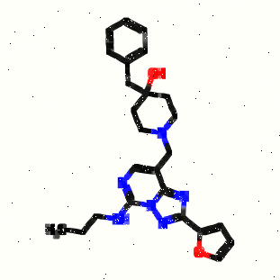 CCCNc1ncc(CN2CCC(O)(Cc3ccccc3)CC2)c2nc(-c3ccco3)nn12